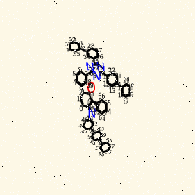 C1=CC2c3cccc(-c4nc(-c5ccc(-c6ccccc6)cc5)nc(-c5cccc(-c6ccccc6)c5)n4)c3OC2c2c1n(-c1cccc(-c3ccc(-c4ccccc4)cc3)c1)c1ccccc21